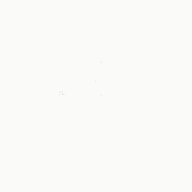 BrC(Br)Oc1[c]cccc1